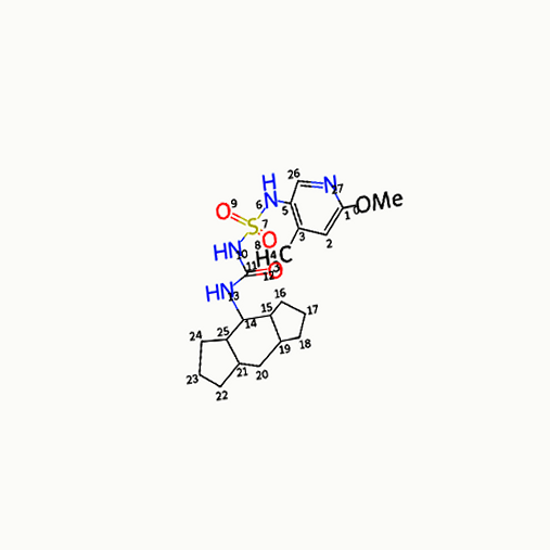 COc1cc(C)c(NS(=O)(=O)NC(=O)NC2C3CCCC3CC3CCCC32)cn1